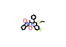 CCCSc1c(-c2ccccc2)c(C(C)N2C(=O)c3ccccc3C2=O)nc2ccc(F)cc12